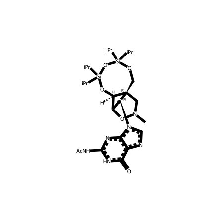 CC(=O)Nc1nc2c(ncn2[C@@H]2O[C@]34CO[Si](C(C)C)(C(C)C)O[Si](C(C)C)(C(C)C)O[C@@H]3C2ON(C)C4)c(=O)[nH]1